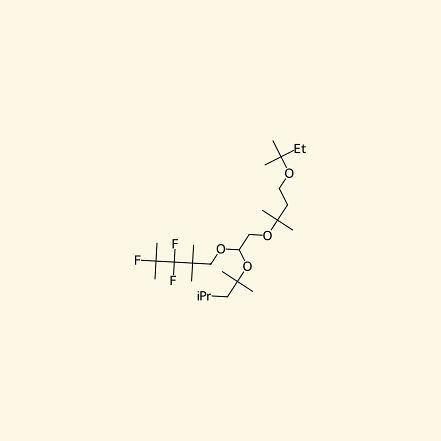 CCC(C)(C)OCCC(C)(C)OCC(OCC(C)(C)C(F)(F)C(C)(C)F)OC(C)(C)CC(C)C